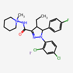 CCC1C(C(=O)N[N+]2(C)CCCCC2)=NN(c2ccc(Cl)cc2Cl)C1c1ccc(F)cc1.[I-]